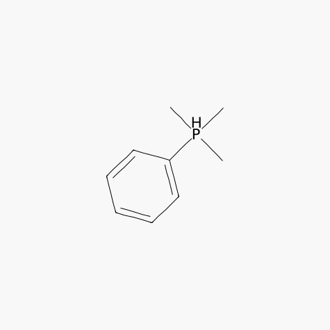 C[PH](C)(C)c1ccccc1